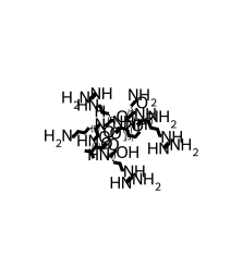 CC[C@H](C)[C@H](NC(=O)[C@H](CC(N)=O)NC(=O)[C@@H](N)CCCNC(=N)N)C(=O)N[C@@H](CCCNC(=N)N)C(=O)N[C@@H](CCCCN)C(=O)N[C@H](C(=O)N[C@@H](CCCNC(=N)N)C(=O)O)C(C)C